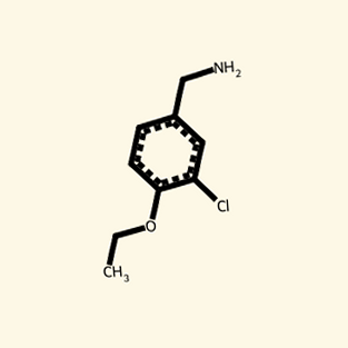 CCOc1ccc(CN)cc1Cl